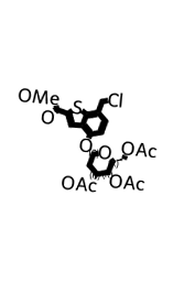 COC(=O)c1cc2c(O[C@H]3C[C@@H](OC(C)=O)[C@@H](OC(C)=O)[C@@H](COC(C)=O)O3)ccc(CCl)c2s1